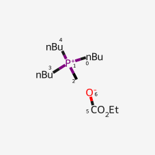 CCCC[P+](C)(CCCC)CCCC.CCOC(=O)[O-]